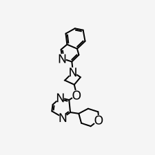 c1ccc2cc(N3CC(Oc4nccnc4C4CCOCC4)C3)ncc2c1